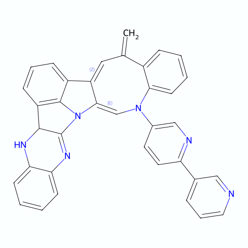 C=C1/C=c2\c(n3c4c(cccc24)C2Nc4ccccc4N=C23)=C/N(c2ccc(-c3cccnc3)nc2)c2ccccc21